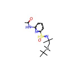 CC(=O)Nc1cccc(/[SH](=O)=N/C(C)(C)C[Si](C)(C)C(C)(C)C)n1